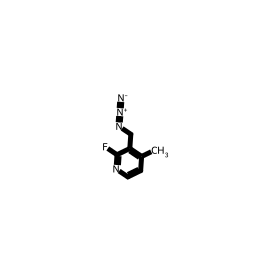 Cc1ccnc(F)c1CN=[N+]=[N-]